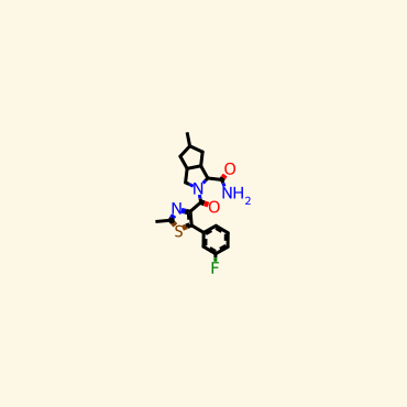 Cc1nc(C(=O)N2CC3CC(C)CC3C2C(N)=O)c(-c2cccc(F)c2)s1